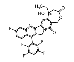 CC[C@@]1(O)CC(=O)OCc2c1cc1n(c2=O)Cc2c-1nc1cc(F)ccc1c2-c1c(F)c(F)cc(F)c1F